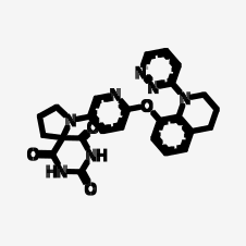 O=C1NC(=O)C2(CCCN2c2ccc(Oc3cccc4c3N(c3cccnn3)CCC4)nc2)C(=O)N1